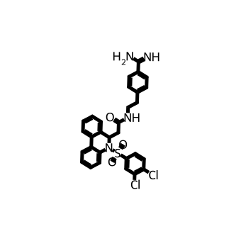 N=C(N)c1ccc(CCNC(=O)CC2c3ccccc3-c3ccccc3N2S(=O)(=O)c2ccc(Cl)c(Cl)c2)cc1